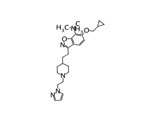 CN(C)c1c(OCC2CC2)ccc2c(CCC3CCN(CCn4cccn4)CC3)noc12